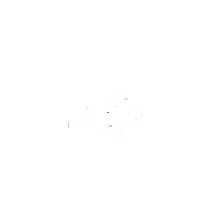 O=C(O)CC1(C(I)c2ccccc2)N=C(c2cccc(O)c2)N=C1Cl